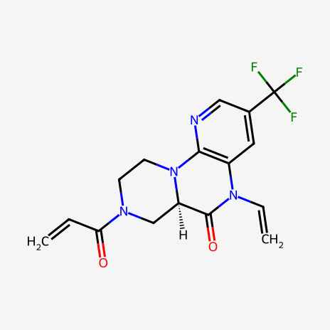 C=CC(=O)N1CCN2c3ncc(C(F)(F)F)cc3N(C=C)C(=O)[C@H]2C1